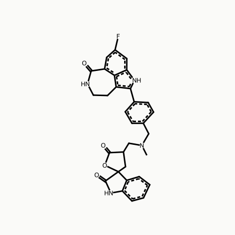 CN(Cc1ccc(-c2[nH]c3cc(F)cc4c3c2CCNC4=O)cc1)CC1CC2(OC1=O)C(=O)Nc1ccccc12